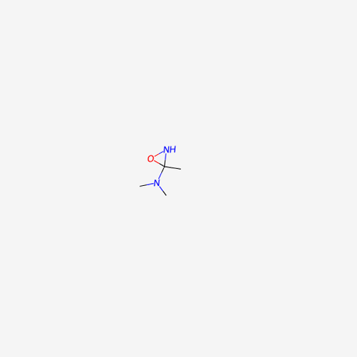 CN(C)C1(C)NO1